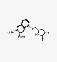 COc1cc2c(OCC3CC(F)C(=O)N3)cccc2cc1C=O